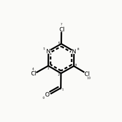 O=[C]c1c(Cl)nc(Cl)nc1Cl